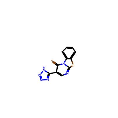 S=c1c(-c2nnn[nH]2)cnc2sc3ccccc3n12